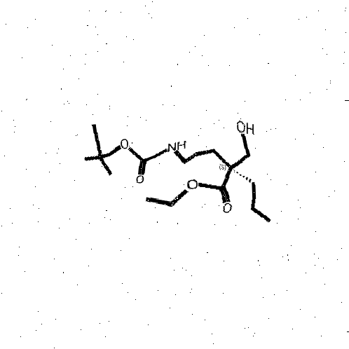 CCC[C@@](CO)(CCNC(=O)OC(C)(C)C)C(=O)OCC